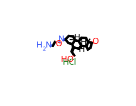 C[C@]12CC/C(=N/OCCN)CC1/C(=C/CO)C[C@@H]1[C@@H]2CC[C@]2(C)C(=O)CC[C@@H]12.Cl